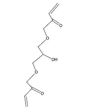 C=CC(=O)COCC(O)COCC(=O)C=C